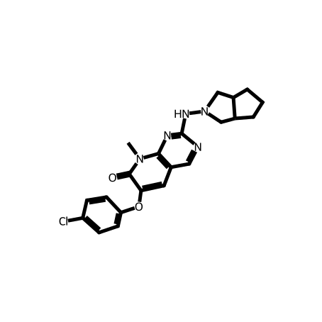 Cn1c(=O)c(Oc2ccc(Cl)cc2)cc2cnc(NN3CC4CCCC4C3)nc21